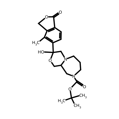 Cc1c(C2(O)CN3CCCN(C(=O)OC(C)(C)C)CC3CO2)ccc2c1COC2=O